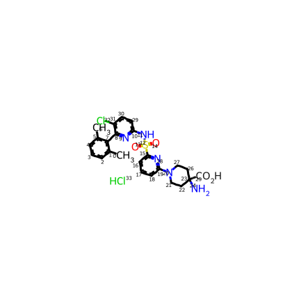 Cc1cccc(C)c1-c1nc(NS(=O)(=O)c2cccc(N3CCC(N)(C(=O)O)CC3)n2)ccc1Cl.Cl